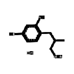 CC(CC=O)Cc1ccc(O)cc1O.Cl